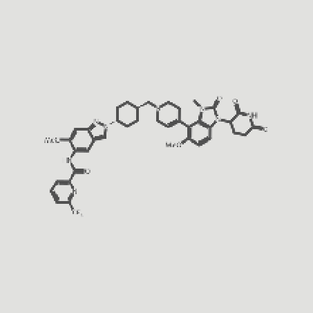 COc1cc2nn([C@H]3CC[C@H](CN4CC=C(c5c(OC)ccc6c5n(C)c(=O)n6C5CCC(=O)NC5=O)CC4)CC3)cc2cc1NC(=O)c1cccc(C(F)(F)F)n1